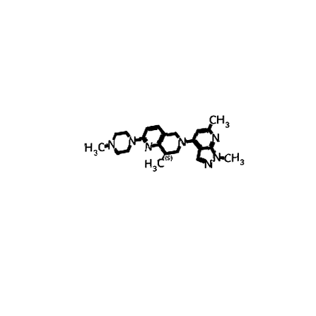 Cc1cc(N2Cc3ccc(N4CCN(C)CC4)nc3[C@@H](C)C2)c2cnn(C)c2n1